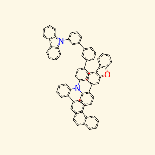 c1cc(-c2ccc(N(c3ccccc3-c3ccc4c(ccc5ccccc54)c3)c3ccccc3-c3ccc4c(c3)oc3ccccc34)cc2)cc(-c2cccc(-n3c4ccccc4c4ccccc43)c2)c1